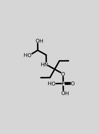 CCC(CC)(NCC(O)O)OP(=O)(O)O